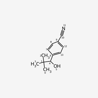 CC(C)(C)C(O)c1ccc(C#N)cc1